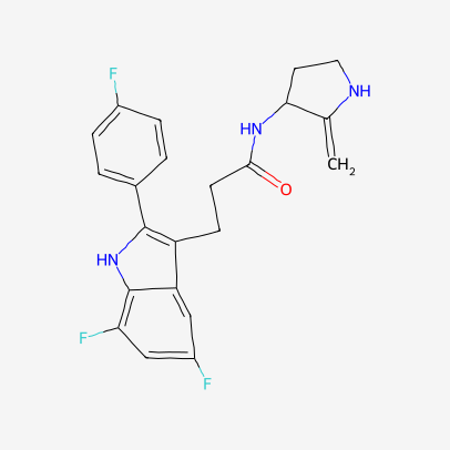 C=C1NCCC1NC(=O)CCc1c(-c2ccc(F)cc2)[nH]c2c(F)cc(F)cc12